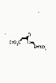 CCOC(=O)CC(=O)OCO[N+](=O)[O-]